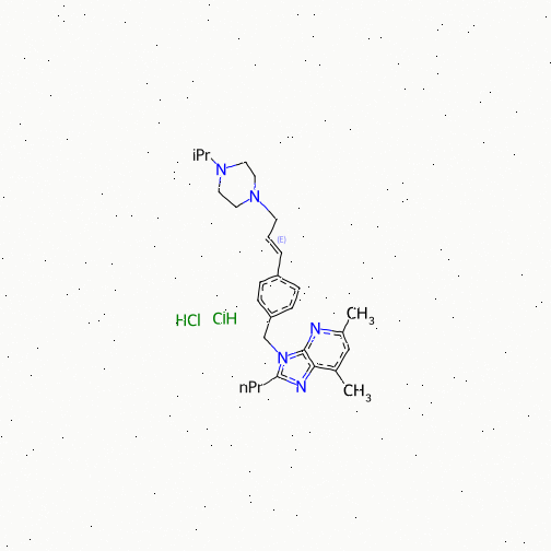 CCCc1nc2c(C)cc(C)nc2n1Cc1ccc(/C=C/CN2CCN(C(C)C)CC2)cc1.Cl.Cl